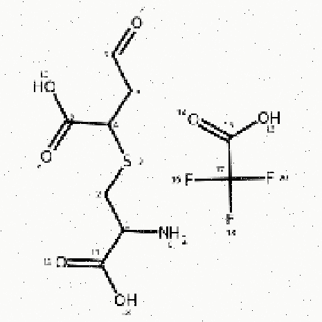 NC(CSC(CC=O)C(=O)O)C(=O)O.O=C(O)C(F)(F)F